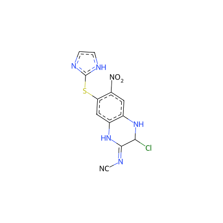 N#CN=C1Nc2cc(Sc3ncc[nH]3)c([N+](=O)[O-])cc2NC1Cl